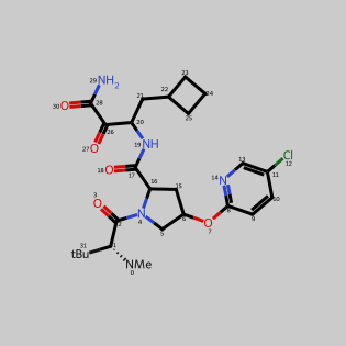 CN[C@@H](C(=O)N1CC(Oc2ccc(Cl)cn2)CC1C(=O)NC(CC1CCC1)C(=O)C(N)=O)C(C)(C)C